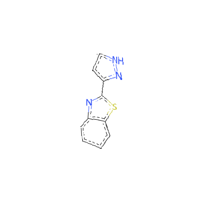 [c]1cc(-c2nc3ccccc3s2)n[nH]1